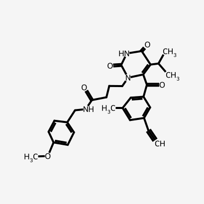 C#Cc1cc(C)cc(C(=O)c2c(C(C)C)c(=O)[nH]c(=O)n2CCCC(=O)NCc2ccc(OC)cc2)c1